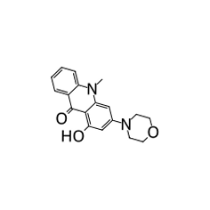 Cn1c2ccccc2c(=O)c2c(O)cc(N3CCOCC3)cc21